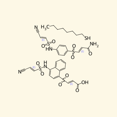 CCCCCCCCS.N#C/C=C/S(=O)(=O)Nc1ccc(S(=O)(=O)/C=C/C(=O)O)c2ccccc12.N#C/C=C/S(=O)(=O)Nc1ccc(S(=O)(=O)/C=C/C(N)=O)cc1